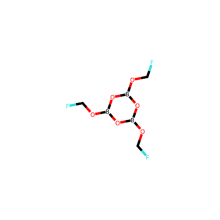 FCOB1OB(OCF)OB(OCF)O1